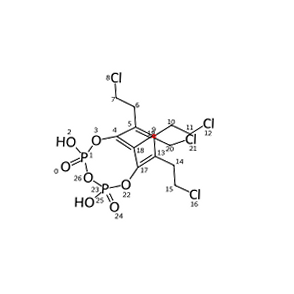 O=P1(O)Oc2c(CCCl)c(CCCl)c(CCCl)c(c2CCCl)OP(=O)(O)O1